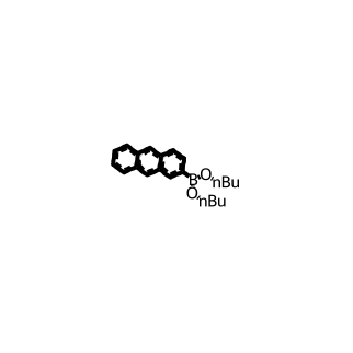 CCCCOB(OCCCC)c1ccc2cc3ccccc3cc2c1